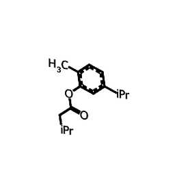 Cc1ccc(C(C)C)cc1OC(=O)CC(C)C